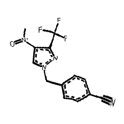 C[N+](=O)c1cn(Cc2ccc(C#N)cc2)nc1C(F)(F)F